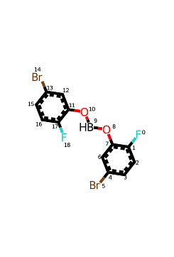 Fc1ccc(Br)cc1OBOc1cc(Br)ccc1F